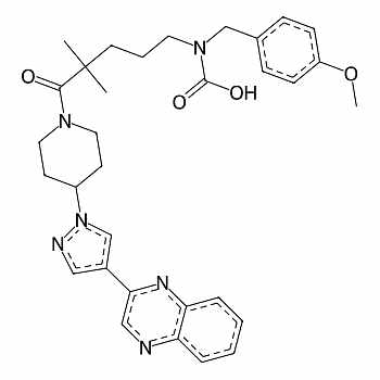 COc1ccc(CN(CCCC(C)(C)C(=O)N2CCC(n3cc(-c4cnc5ccccc5n4)cn3)CC2)C(=O)O)cc1